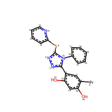 CC(C)c1cc(-c2nnc(Sc3ccccn3)n2-c2ccccc2)c(O)cc1O